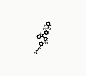 CN(C)CCCOc1cccc(Nc2nccc(-c3c(-c4cccc(NC(=O)c5c(F)cccc5F)c4)nn4ccccc34)n2)c1